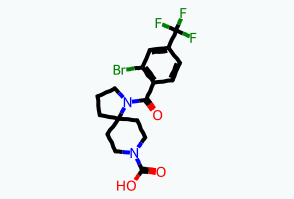 O=C(O)N1CCC2(CCCN2C(=O)c2ccc(C(F)(F)F)cc2Br)CC1